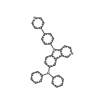 c1ccc(N(c2ccccc2)c2ccc3c(c2)c2cnccc2n3-c2ccc(-c3ccncc3)cc2)cc1